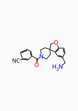 N#Cc1cccc(C(=O)N2CCC3(CC2)COc2ccc(CN)cc23)c1